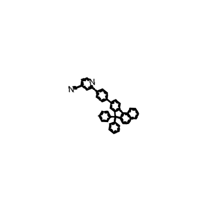 N#Cc1ccnc(-c2ccc(-c3ccc4c(c3)C(c3ccccc3)(c3ccccc3)c3ccc5ccccc5c3-4)cc2)c1